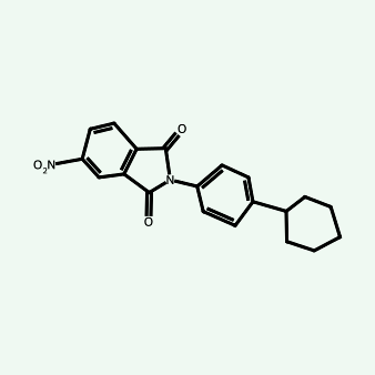 O=C1c2ccc([N+](=O)[O-])cc2C(=O)N1c1ccc(C2CCCCC2)cc1